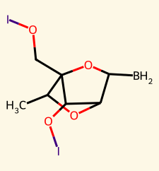 BC1OC2(COI)C(C)OC1C2OI